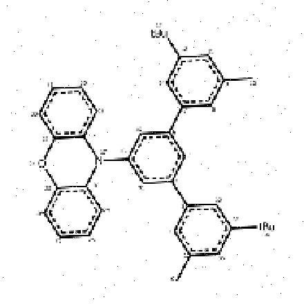 Cc1cc(-c2cc(-c3cc(C)cc(C(C)(C)C)c3)cc(N3c4ccccc4Oc4ccccc43)c2)cc(C(C)(C)C)c1